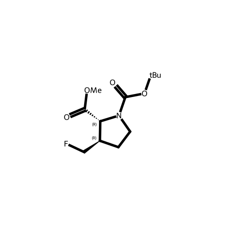 COC(=O)[C@H]1[C@H](CF)CCN1C(=O)OC(C)(C)C